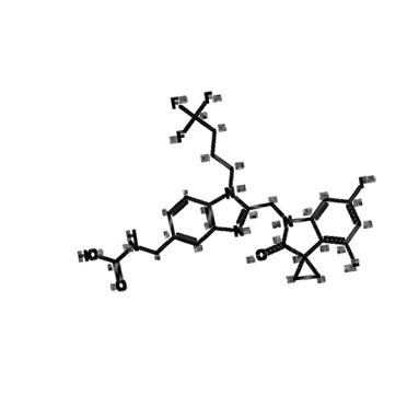 O=C(O)NCc1ccc2c(c1)nc(CN1C(=O)C3(CC3)c3c(F)cc(F)cc31)n2CCCC(F)(F)F